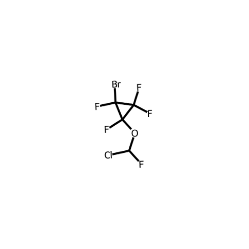 FC(Cl)OC1(F)C(F)(F)C1(F)Br